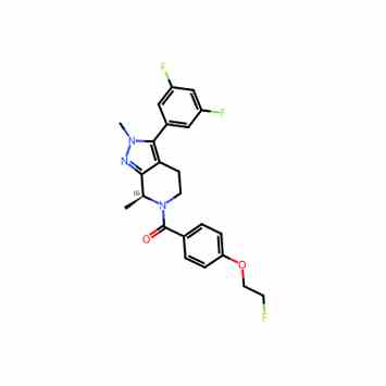 C[C@H]1c2nn(C)c(-c3cc(F)cc(F)c3)c2CCN1C(=O)c1ccc(OCCF)cc1